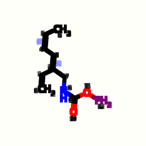 C=C/C(=C\C=C/C)CNC(=O)OP